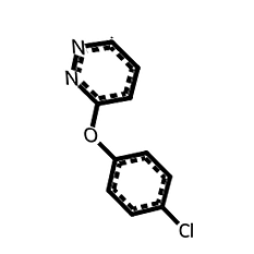 Clc1ccc(Oc2cc[c]nn2)cc1